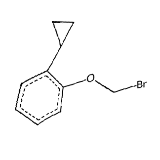 BrCOc1ccccc1C1CC1